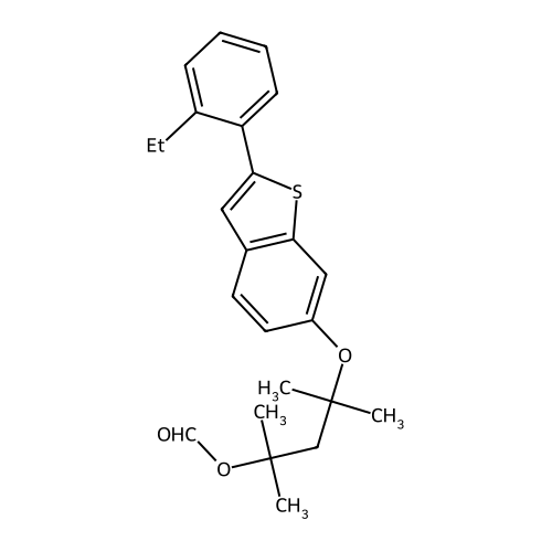 CCc1ccccc1-c1cc2ccc(OC(C)(C)CC(C)(C)OC=O)cc2s1